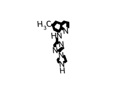 Cc1cc(NCc2cnc(N3CCNCC3)cn2)c2ncccc2c1